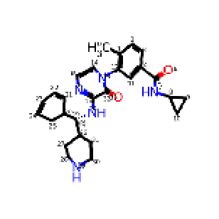 Cc1ccc(C(=O)NC2CC2)cc1-n1ccnc(N[C@@H](C2C=CC=CC2)C2CCNCC2)c1=O